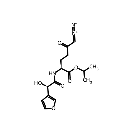 CC(C)OC(=O)[C@H](CCC(=O)C=[N+]=[N-])NC(=O)[C@H](O)c1ccoc1